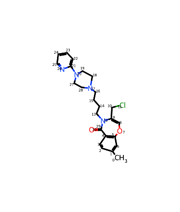 Cc1ccc2c(c1)OC=C(CCl)N(CCCCN1CCN(c3ccccn3)CC1)C2=O